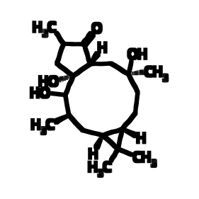 CC1C[C@]2(O)C(O)[C@H](C)C[C@@H]3[C@H](CC[C@](C)(O)C[C@H]2C1=O)C3(C)C